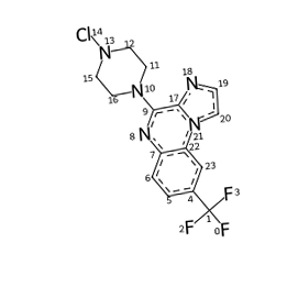 FC(F)(F)c1ccc2nc(N3CCN(Cl)CC3)c3nccn3c2c1